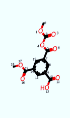 COC(=O)OC(=O)c1cc(C(=O)O)cc(C(=O)OC)c1